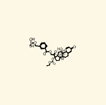 CCOC(=O)O[C@]1(C(=O)COC(=O)c2cccc(CON(O)O)c2)CC[C@H]2[C@@H]3CCC4=CC(=O)C=C[C@]4(C)[C@H]3[C@@H](O)C[C@@]21C